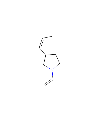 C=CN1CCC(/C=C\C)C1